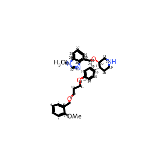 COc1ccccc1COCCCOc1ccc([C@H]2CCNC[C@@H]2OCc2cccc3c2ncn3C)cc1